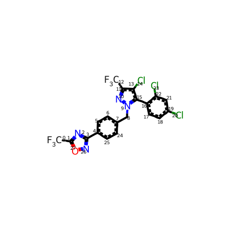 FC(F)(F)c1nc(-c2ccc(Cn3nc(C(F)(F)F)c(Cl)c3-c3ccc(Cl)cc3Cl)cc2)no1